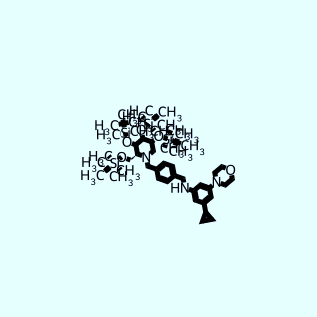 CC(C)(C)[Si](C)(C)OC[C@@H]1C(O[Si](C)(C)C(C)(C)C)C(O[Si](C)(C)C(C)(C)C)C(O[Si](C)(C)C(C)(C)C)CN1Cc1ccc(CNc2cc(C3CC3)cc(N3CCOCC3)c2)cc1